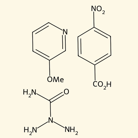 COc1cccnc1.NC(=O)N(N)N.O=C(O)c1ccc([N+](=O)[O-])cc1